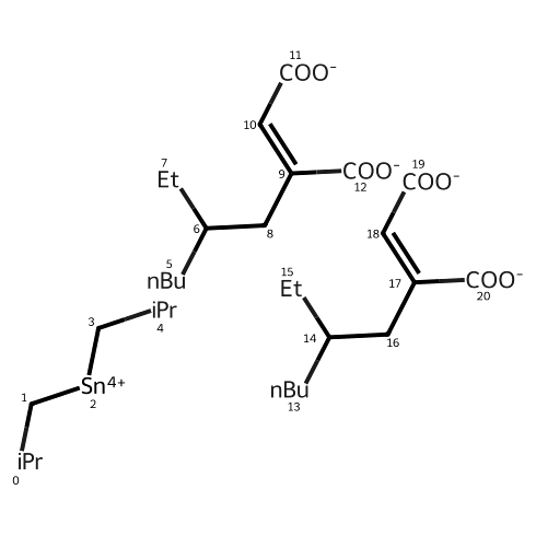 CC(C)[CH2][Sn+4][CH2]C(C)C.CCCCC(CC)C/C(=C/C(=O)[O-])C(=O)[O-].CCCCC(CC)C/C(=C/C(=O)[O-])C(=O)[O-]